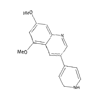 COc1cc(OC)c2cc(C3=CCNC=C3)cnc2c1